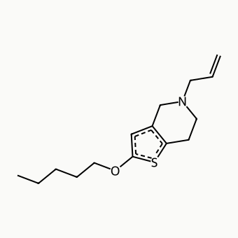 C=CCN1CCc2sc(OCCCCC)cc2C1